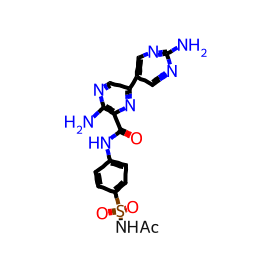 CC(=O)NS(=O)(=O)c1ccc(NC(=O)c2nc(-c3cnc(N)nc3)cnc2N)cc1